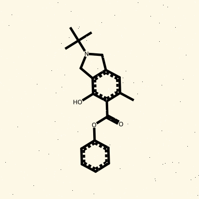 Cc1cc2c(c(O)c1C(=O)Oc1ccccc1)CN(C(C)(C)C)C2